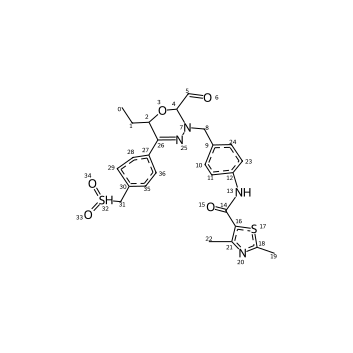 CCC1OC(C=O)N(Cc2ccc(NC(=O)c3sc(C)nc3C)cc2)N=C1c1ccc(C[SH](=O)=O)cc1